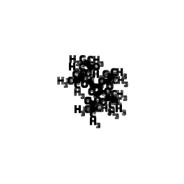 CC(C)(C)C(=O)OC[C@@H](OC(=O)C(C)(C)C)[C@@H]1O[C@@H](OC(=O)C(C)(C)C)[C@H](OC(=O)C(C)(C)C)[C@H]1OC(=O)C(C)(C)C